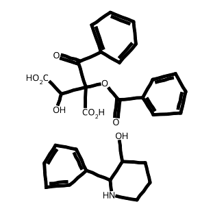 O=C(OC(C(=O)O)(C(=O)c1ccccc1)C(O)C(=O)O)c1ccccc1.OC1CCCNC1c1ccccc1